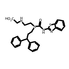 O=C(O)CNCCN(CCC(c1ccccc1)c1ccccc1)C(=O)Nc1nc2ccccc2s1